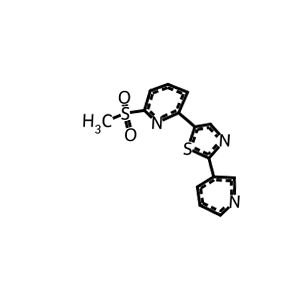 CS(=O)(=O)c1cccc(-c2cnc(-c3cccnc3)s2)n1